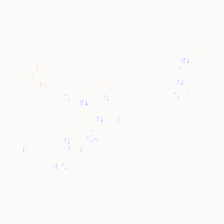 C=C1NC(=O)CCC1n1c(=O)n(C)c2cc(CC[C@H]3CC[C@@H](C(=O)N4CC[C@H]5CC[C@@H](C(=O)N[C@@H](CCC(N)=O)C(=O)NCc6ccc(C(C)C)c(Cl)c6)N5C(=O)[C@@H](NC(=O)c5cc6cc(C(=O)P(=O)(O)O)ccc6[nH]5)C4)CC3)ccc21